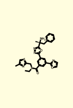 CCN(Cc1nc(C)cs1)C(=O)c1cc(-c2ncco2)cc(-c2nnc([C@](C)(N)Cc3ccccc3)o2)c1